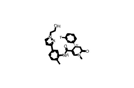 Cc1ccc(-c2ccn(CCO)n2)cc1NC(=O)C1=CN(C)C(=O)C[C@H]1c1cccc(F)c1